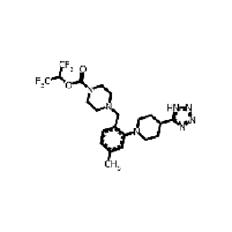 Cc1ccc(CN2CCN(C(=O)OC(C(F)(F)F)C(F)(F)F)CC2)c(N2CCC(c3nnn[nH]3)CC2)c1